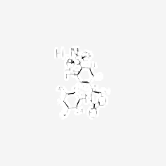 Cc1cc(C)cc(-n2c(-c3ccc(S(N)(=O)=O)c(F)c3)coc2=O)c1